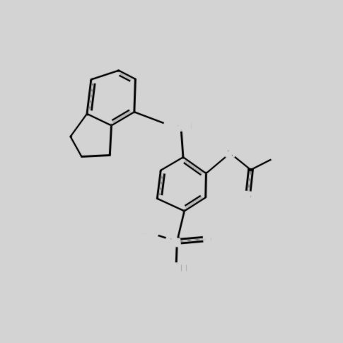 CC(=O)Nc1cc([As](=O)(O)O)ccc1O.Cc1cccc2c1CCC2